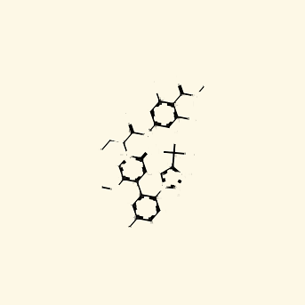 CC[C@@H](C(=O)Nc1cc(F)c(C(=O)NC)c(F)c1)n1cc(OC)c(-c2cc(Cl)ccc2-n2cc(C(F)(F)F)nn2)cc1=O